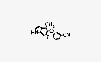 Cc1c(Oc2cccc(C#N)c2)c(F)cc2[nH]ccc12